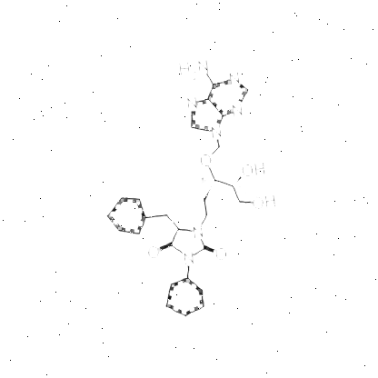 Nc1ncnc2c1ncn2CO[C@H](CCN1C(=O)N(c2ccccc2)C(=O)C1Cc1ccccc1)[C@@H](O)CO